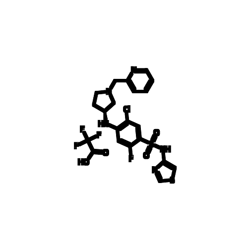 O=C(O)C(F)(F)F.O=S(=O)(Nc1cscn1)c1cc(Cl)c(N[C@H]2CCN(Cc3ccccn3)C2)cc1F